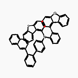 c1ccc(-c2ccc3ccccc3c2)c(-c2ccc(N(c3ccccc3-c3cccc4oc5ccccc5c34)c3cccc4sc5ccccc5c34)cc2)c1